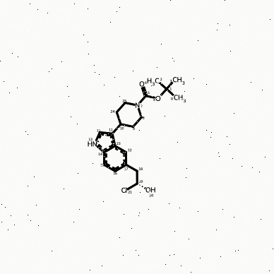 CC(C)(C)OC(=O)N1CCC(c2c[nH]c3ccc(C[C@H](O)Cl)cc23)CC1